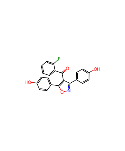 O=C(c1ccccc1F)c1c(-c2ccc(O)cc2)noc1-c1ccc(O)cc1